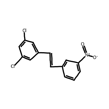 O=[N+]([O-])c1cccc(C=Cc2cc(Cl)cc(Cl)c2)c1